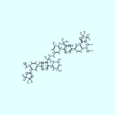 COC(OC)c1ccc(C(=O)NN(C(=O)c2cc(C)cc(CCC(C)(C)N(NC(=O)c3ccc(C=O)c(B4OC(C)(C)C(C)(C)O4)c3)C(=O)C3=CC(C)=CC(C)C3)c2)C(C)(C)C)cc1B1OC(C)(C)C(C)(C)O1